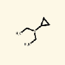 CCN(CN)C1CC1